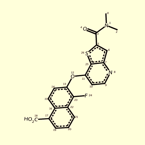 CN(C)C(=O)c1cc2nccc(Oc3ccc4c(C(=O)O)cccc4c3F)c2s1